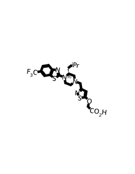 CC(C)C[C@@H]1CN(Cc2cc(OCC(=O)O)sn2)CCN1c1nc2ccc(C(F)(F)F)cc2s1